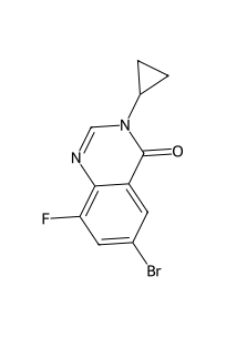 O=c1c2cc(Br)cc(F)c2ncn1C1CC1